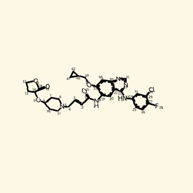 O=C(C=CCN1CCC(OC2CCOC2=O)CC1)Nc1cc2c(Nc3ccc(F)c(Cl)c3)ncnc2cc1OCC1CC1